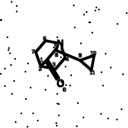 O=C1C2CCN(CC2)C1C1CC1